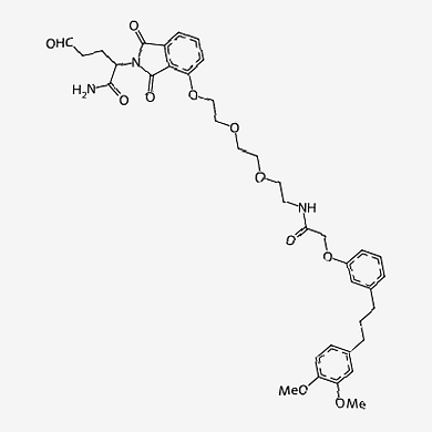 COc1ccc(CCCc2cccc(OCC(=O)NCCOCCOCCOc3cccc4c3C(=O)N(C(CCC=O)C(N)=O)C4=O)c2)cc1OC